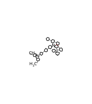 CCc1ccc2c(c1)c1cc(CC)ccc1n2-c1ccc(-c2ccc(-c3ccc(N(c4ccc5c(c4)C(c4ccccc4)(c4ccccc4)c4ccccc4-5)c4cc(-c5ccccc5)ccc4-c4ccccc4)cc3)cc2)cc1